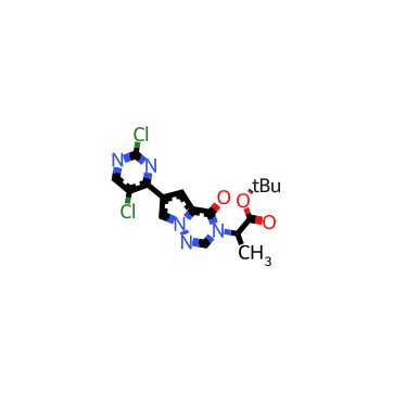 CC(C(=O)OC(C)(C)C)n1cnn2cc(-c3nc(Cl)ncc3Cl)cc2c1=O